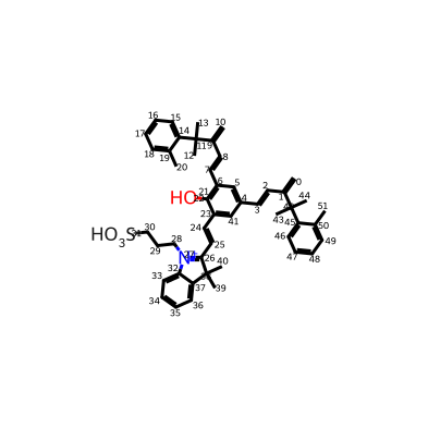 C=C(/C=C/c1cc(/C=C/C(=C)C(C)(C)c2ccccc2C)c(O)c(/C=C/C2=[N+](CCCS(=O)(=O)O)c3ccccc3C2(C)C)c1)C(C)(C)c1ccccc1C